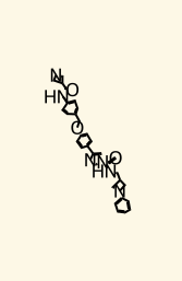 CN1CC(C(=O)Nc2ccc(COc3ccc(-c4cn(C(=O)NCC5CN(c6ccccc6)C5)cn4)cc3)cc2)C1